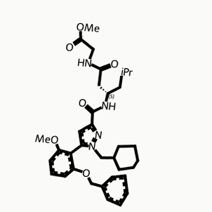 COC(=O)CNC(=O)C[C@H](CC(C)C)NC(=O)c1cc(-c2c(OC)cccc2OCc2ccccc2)n(CC2CCCCC2)n1